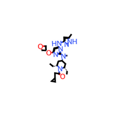 CC[C@@H]1C[C@@H](N(C)c2nc(Nc3cc(C)[nH]n3)cc(OC3COC3)n2)C[C@H](CC)N1C(=O)CC1CC1